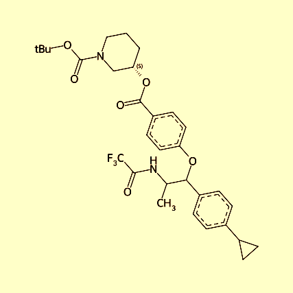 CC(NC(=O)C(F)(F)F)C(Oc1ccc(C(=O)O[C@H]2CCCN(C(=O)OC(C)(C)C)C2)cc1)c1ccc(C2CC2)cc1